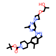 Cc1nc(N2CC(OCC(C)O)C2)cc(-n2ncc3cc(C)c(C4CCN(C(=O)OC(C)(C)C)CC4)cc32)n1